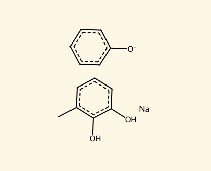 Cc1cccc(O)c1O.[Na+].[O-]c1ccccc1